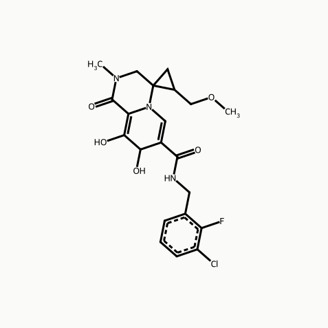 COCC1CC12CN(C)C(=O)C1=C(O)C(O)C(C(=O)NCc3cccc(Cl)c3F)=CN12